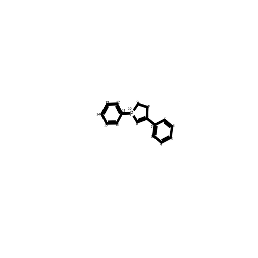 C1=C(c2ccccc2)CCP1c1ccccc1